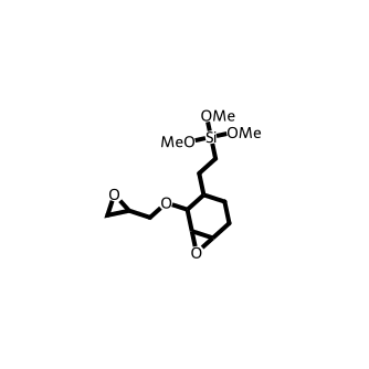 CO[Si](CCC1CCC2OC2C1OCC1CO1)(OC)OC